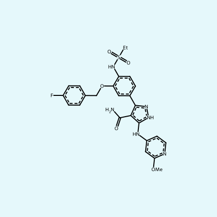 CCS(=O)(=O)Nc1ccc(-c2n[nH]c(Nc3ccnc(OC)c3)c2C(N)=O)cc1OCc1ccc(F)cc1